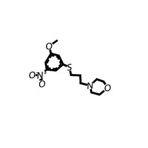 COc1cc(SCCCN2CCOCC2)cc([N+](=O)[O-])c1